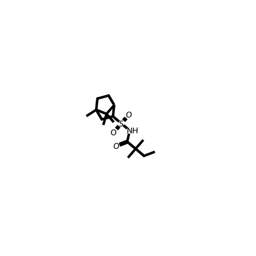 CCC(C)(C)C(=O)NS(=O)(=O)C1CC2(C)CCC1C2(C)C